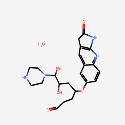 O.O=CCCC(CC(O)C(O)N1CCNCC1)Oc1ccc2nc3c(cc2c1)CC(=O)N3